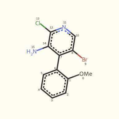 COc1ccccc1-c1c(Br)cnc(Cl)c1N